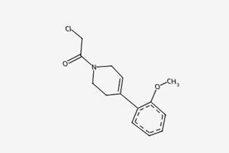 COc1ccccc1C1=CCN(C(=O)CCl)CC1